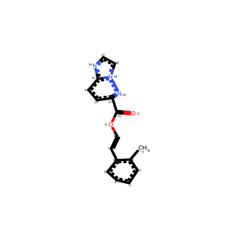 Cc1ccccc1C=COC(=O)c1ccc2nccn2n1